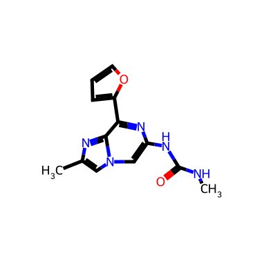 CNC(=O)Nc1cn2cc(C)nc2c(-c2ccco2)n1